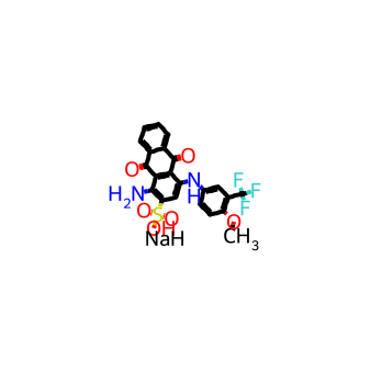 COc1ccc(Nc2cc(S(=O)(=O)O)c(N)c3c2C(=O)c2ccccc2C3=O)cc1C(F)(F)F.[NaH]